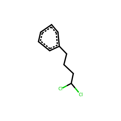 ClC(Cl)CCCc1ccccc1